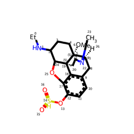 CCNC1CC[C@@]2(OC)[C@H]3Cc4ccc(O[SH](=O)=O)c5c4[C@@]2(CCN3C)C1O5